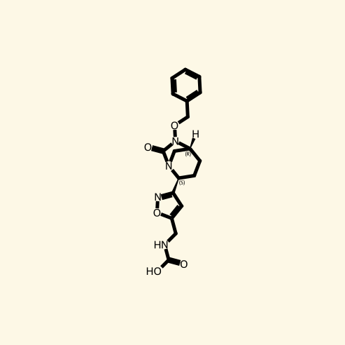 O=C(O)NCc1cc([C@@H]2CC[C@@H]3CN2C(=O)N3OCc2ccccc2)no1